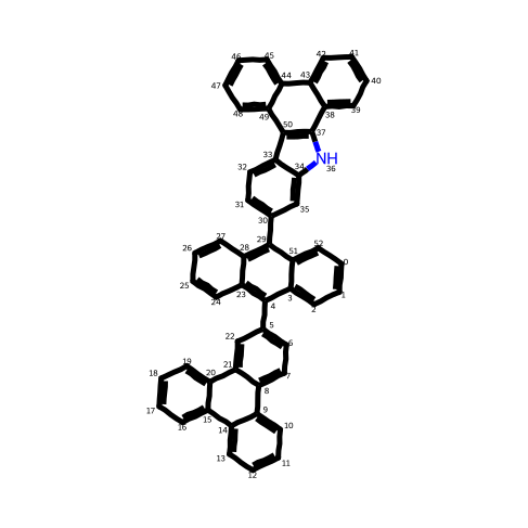 c1ccc2c(-c3ccc4c5ccccc5c5ccccc5c4c3)c3ccccc3c(-c3ccc4c(c3)[nH]c3c5ccccc5c5ccccc5c43)c2c1